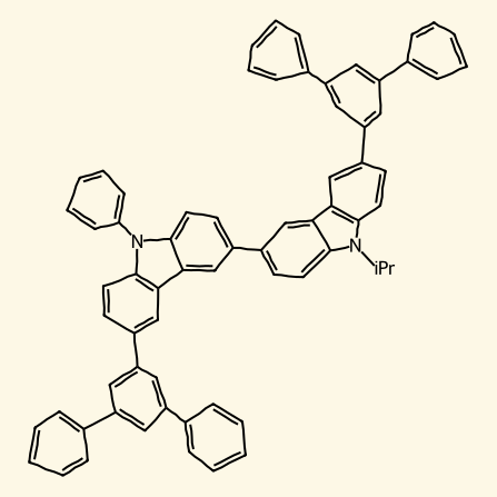 CC(C)n1c2ccc(-c3cc(-c4ccccc4)cc(-c4ccccc4)c3)cc2c2cc(-c3ccc4c(c3)c3cc(-c5cc(-c6ccccc6)cc(-c6ccccc6)c5)ccc3n4-c3ccccc3)ccc21